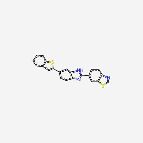 c1ccc2sc(-c3ccc4nc(-c5ccc6ncsc6c5)[nH]c4c3)cc2c1